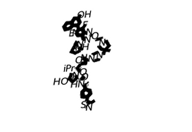 CCc1cccc2cc(O)cc(-c3ncc4c(N5CC6CCC(C5)N6)nc(OCCN5CCC(C)(CN6CCN(c7cc([C@H](C(=O)N8C[C@H](O)C[C@H]8C(=O)N[C@@H](C)c8ccc(-c9scnc9C)cc8)C(C)C)on7)CC6)CC5)nc4c3F)c12